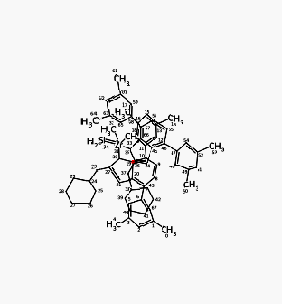 Cc1cc(C)cc(-c2ccc(-c3cc(C)cc(C)c3)c3c2C=C(CC2CCCCC2)[CH]3[Zr]([CH3])([CH3])(=[SiH2])[CH]2C(CC3CCCCC3)=Cc3c(-c4cc(C)cc(C)c4)ccc(-c4cc(C)cc(C)c4)c32)c1